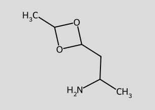 CC(N)CC1OC(C)O1